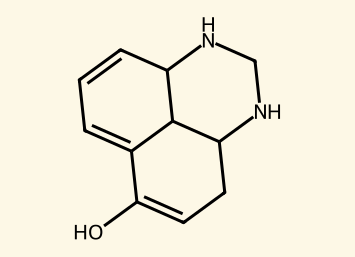 OC1=CCC2NCNC3C=CC=C1C32